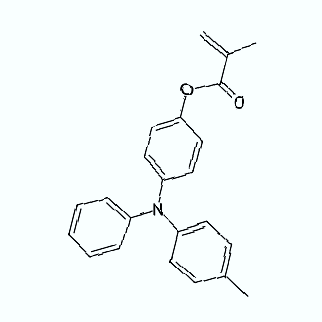 C=C(C)C(=O)Oc1ccc(N(c2ccccc2)c2ccc(C)cc2)cc1